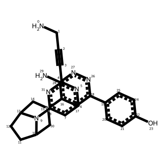 NCC#Cc1nccc(N2C3CCC2CN(c2cc(-c4ccc(O)cc4)nnc2N)C3)n1